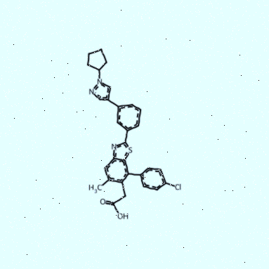 Cc1cc2nc(-c3cccc(-c4cnn(C5CCCC5)c4)c3)sc2c(-c2ccc(Cl)cc2)c1CC(=O)O